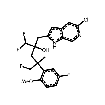 COc1ccc(F)cc1C(C)(CF)CC(O)(Cc1cc2cc(Cl)ncc2[nH]1)C(F)F